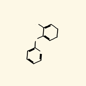 CC1=C[CH]CC=C1Oc1ccccn1